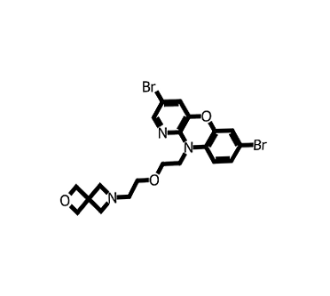 Brc1ccc2c(c1)Oc1cc(Br)cnc1N2CCOCCN1CC2(COC2)C1